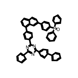 O=P(c1ccccc1)(c1ccccc1)c1ccc(-c2ccc3cccc(-c4ccc(-c5nc(-c6ccccc6)nc(-c6ccc(-c7ccccc7)cc6)n5)cc4)c3c2)cc1